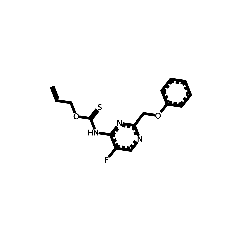 C=CCOC(=S)Nc1nc(COc2ccccc2)ncc1F